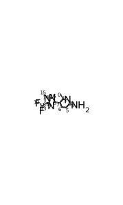 Cc1nc(N)ccc1-c1nc(C(F)F)n(C)n1